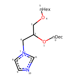 CCCCCCCCCCOC(COCCCCCC)Cn1ccnc1